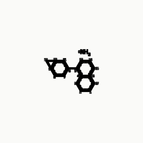 N.c1ccc2c(-c3ccc4c(c3)C4)cccc2c1